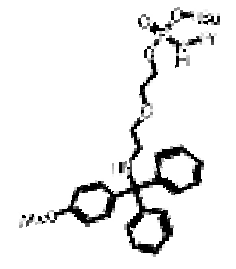 COc1ccc(C(NCCOCCOP(=O)(NC(C)C)OC(C)(C)C)(c2ccccc2)c2ccccc2)cc1